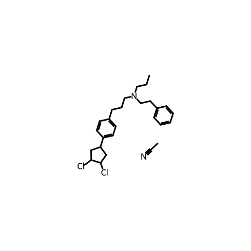 CC#N.CCCN(CCCc1ccc(C2CC(Cl)C(Cl)C2)cc1)CCc1ccccc1